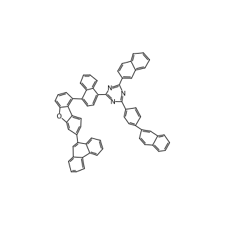 c1ccc2cc(-c3ccc(-c4nc(-c5ccc6ccccc6c5)nc(-c5ccc(-c6cccc7oc8cc(-c9cc%10ccccc%10c%10ccccc9%10)ccc8c67)c6ccccc56)n4)cc3)ccc2c1